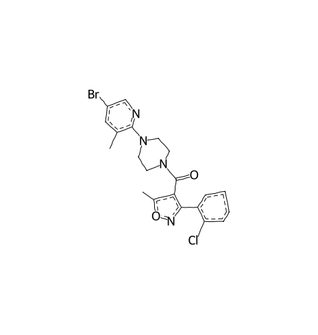 Cc1cc(Br)cnc1N1CCN(C(=O)c2c(-c3ccccc3Cl)noc2C)CC1